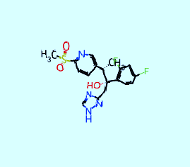 C[C@@H](c1ccc(S(C)(=O)=O)nc1)[C@](O)(Cc1nc[nH]n1)c1ccc(F)cc1F